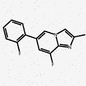 Cc1cn2cc(-c3[c]cccc3F)cc(F)c2n1